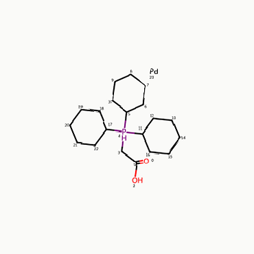 O=C(O)C[PH](C1CCCCC1)(C1CCCCC1)C1CCCCC1.[Pd]